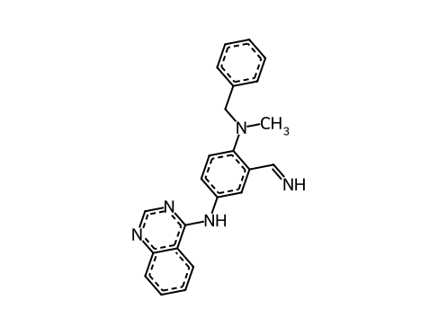 CN(Cc1ccccc1)c1ccc(Nc2ncnc3ccccc23)cc1C=N